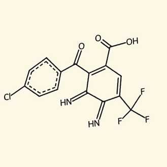 N=C1C(=N)C(C(=O)c2ccc(Cl)cc2)=C(C(=O)O)C=C1C(F)(F)F